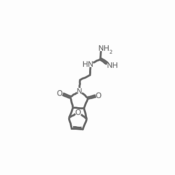 N=C(N)NCCN1C(=O)C2C3C=CC(O3)C2C1=O